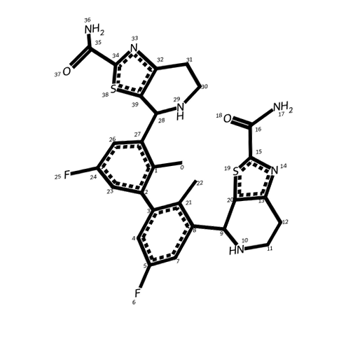 Cc1c(-c2cc(F)cc(C3NCCc4nc(C(N)=O)sc43)c2C)cc(F)cc1C1NCCc2nc(C(N)=O)sc21